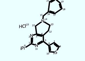 CC(C)c1nc2c(c(-c3ccsc3)n1)CCN(Cc1ccccc1)C2.Cl